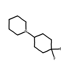 FC1(F)CCC(N2CCCCC2)CC1